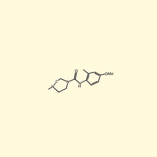 COc1ccc(NC(=O)N2CCN(C)CC2)c(C)c1